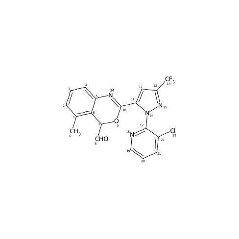 Cc1cccc2c1C(C=O)OC(c1cc(C(F)(F)F)nn1-c1ncccc1Cl)=N2